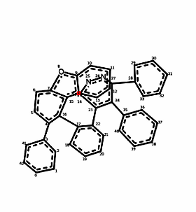 c1ccc(-c2ccc3oc4ccccc4c3c2-c2ccccc2-c2nnnc(-c3ccccc3)c2-c2ccccc2)cc1